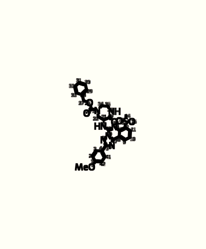 COc1ccc(-c2nc3c4cccc(S(C)(=O)=O)c4nc(N[C@@H]4CN(C(=O)OCc5ccccc5)CCNC4=O)n3n2)cc1